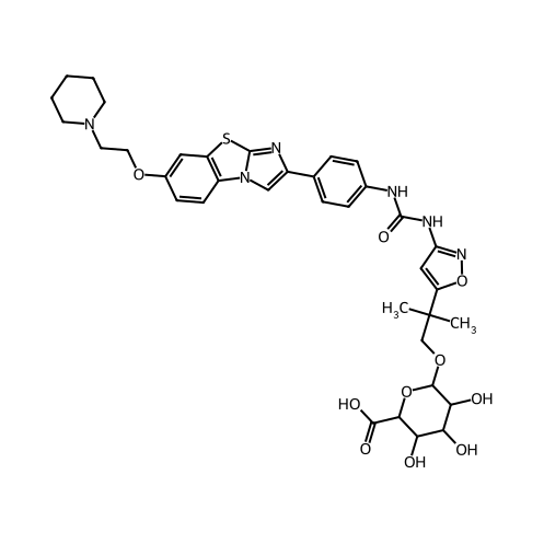 CC(C)(COC1OC(C(=O)O)C(O)C(O)C1O)c1cc(NC(=O)Nc2ccc(-c3cn4c(n3)sc3cc(OCCN5CCCCC5)ccc34)cc2)no1